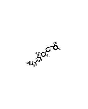 CCNc1nnc(-c2cnc(N3C[C@H](CC)N(C4CCN(Cc5ccc(Cl)cc5C#N)CC4)C[C@H]3C)c(C)n2)o1